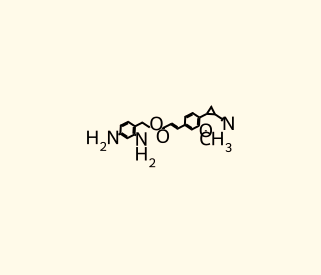 COc1cc(/C=C/C(=O)OCCc2ccc(N)cc2N)ccc1C1CC1C#N